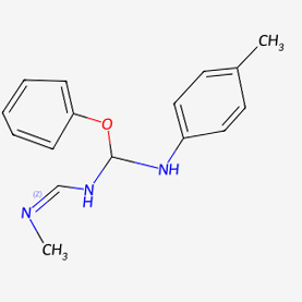 C/N=C\NC(Nc1ccc(C)cc1)Oc1ccccc1